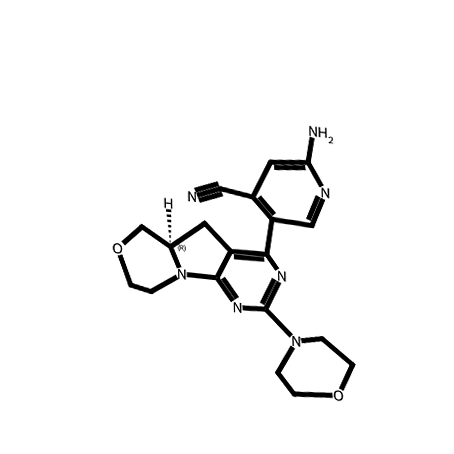 N#Cc1cc(N)ncc1-c1nc(N2CCOCC2)nc2c1C[C@@H]1COCCN21